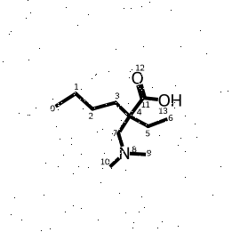 CCCCC(CC)(CN(C)C)C(=O)O